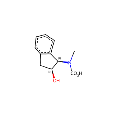 CN(C(=O)O)[C@@H]1c2ccccc2C[C@@H]1O